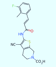 Cc1c(F)cccc1C=CC(=O)Nc1sc2c(c1C#N)CCN(C(=O)O)C2